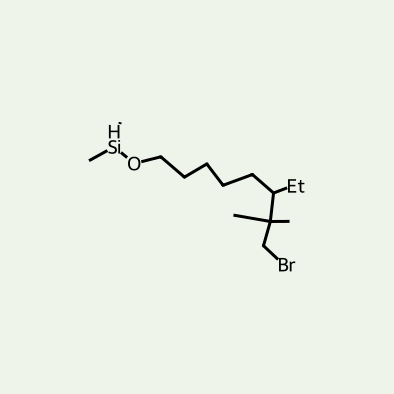 CCC(CCCCCO[SiH](C)C)C(C)(C)CBr